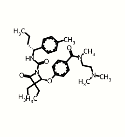 CCC[C@@H](NC(=O)N1C(=O)C(CC)(CC)[C@@H]1Oc1ccc(C(=O)N(C)CCN(C)C)cc1)c1ccc(C)cc1